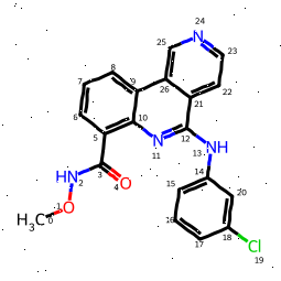 CONC(=O)c1cccc2c1nc(Nc1cccc(Cl)c1)c1ccncc12